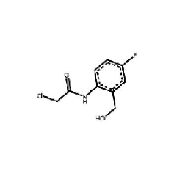 O=C(CCl)Nc1ccc(F)cc1CO